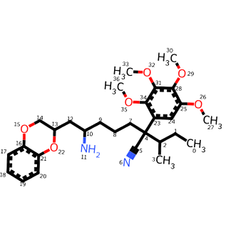 CCC(C)C(C#N)(CCCC(N)CC1COc2ccccc2O1)c1cc(OC)c(OC)c(OC)c1OC